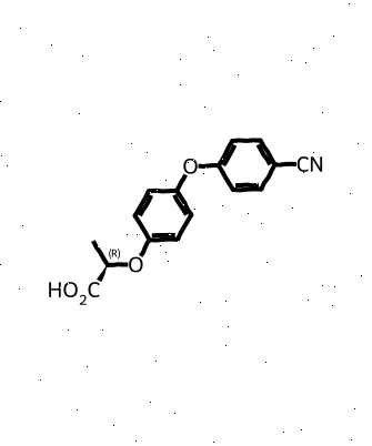 C[C@@H](Oc1ccc(Oc2ccc(C#N)cc2)cc1)C(=O)O